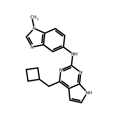 Cn1cnc2cc(Nc3nc(CC4CCC4)c4cc[nH]c4n3)ccc21